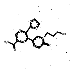 NC(=O)c1cnc(-c2ncco2)c(-c2ccc(=O)n(CCCO)c2)n1